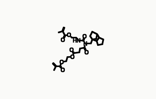 C=C(C)C(=O)OCCNC(=O)N(CC12CCC(C1)C1CCCC12)C(=O)CCC(=O)OCCOC(=O)C(=C)C